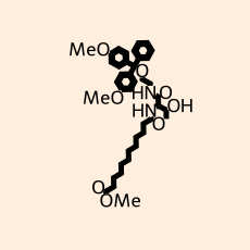 COC(=O)CCCCCCCCCCC(=O)NC(C(=O)NCCOC(c1ccccc1)(c1ccc(OC)cc1)c1ccc(OC)cc1)C(C)O